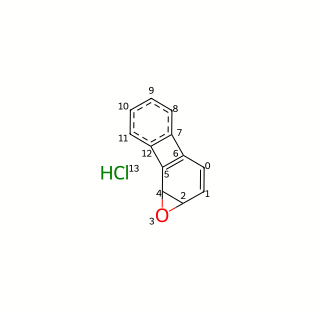 C1=CC2OC2C2=C1c1ccccc12.Cl